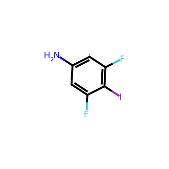 Nc1[c]c(F)c(I)c(F)c1